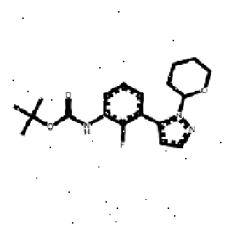 CC(C)(C)OC(=O)Nc1cccc(-c2ccnn2C2CCCCO2)c1F